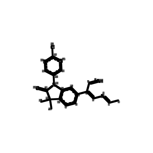 C/C=N/C=C(\C=N)c1ccc2c(c1)N(c1cnc(Cl)nc1)C(=O)C2(C)C